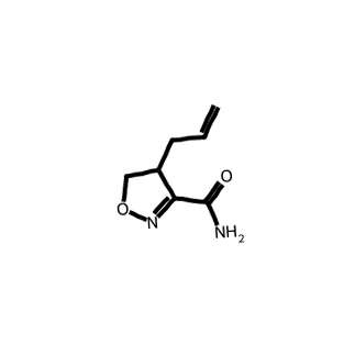 C=CCC1CON=C1C(N)=O